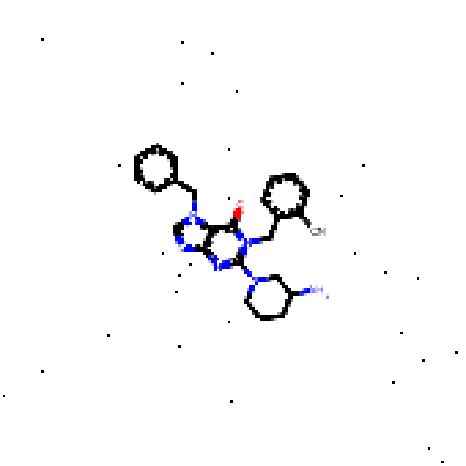 N#Cc1ccccc1Cn1c(N2CCCC(N)C2)nc2ncn(Cc3ccccc3)c2c1=O